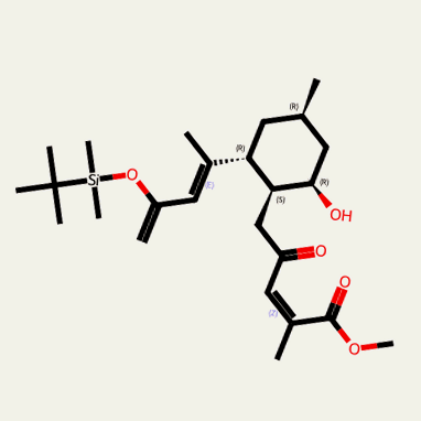 C=C(/C=C(\C)[C@@H]1C[C@@H](C)C[C@@H](O)[C@H]1CC(=O)/C=C(/C)C(=O)OC)O[Si](C)(C)C(C)(C)C